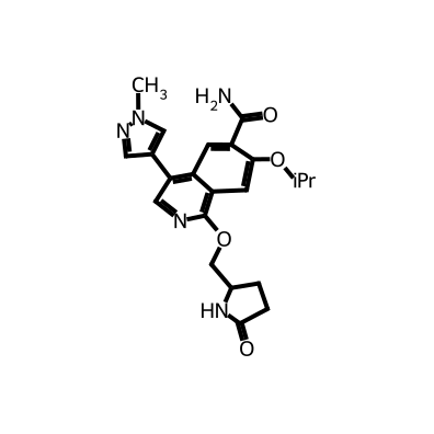 CC(C)Oc1cc2c(OCC3CCC(=O)N3)ncc(-c3cnn(C)c3)c2cc1C(N)=O